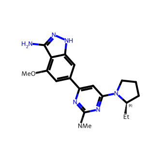 CC[C@@H]1CCCN1c1cc(-c2cc(OC)c3c(N)n[nH]c3c2)nc(NC)n1